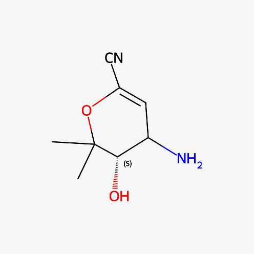 CC1(C)OC(C#N)=CC(N)[C@@H]1O